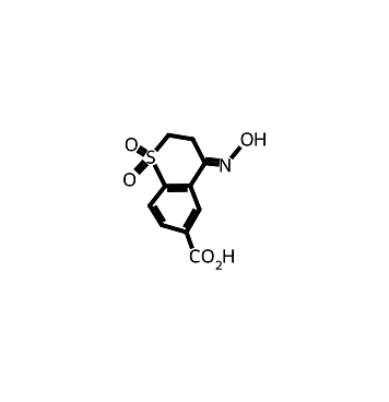 O=C(O)c1ccc2c(c1)C(=NO)CCS2(=O)=O